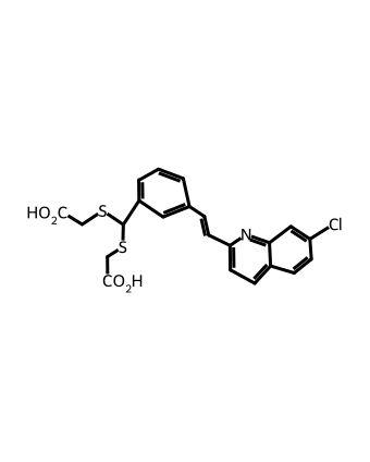 O=C(O)CSC(SCC(=O)O)c1cccc(C=Cc2ccc3ccc(Cl)cc3n2)c1